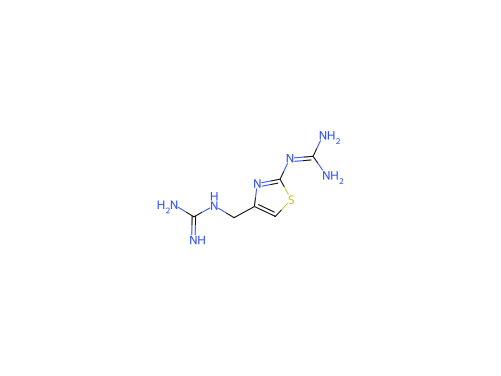 N=C(N)NCc1csc(N=C(N)N)n1